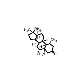 C[C@H]1C[C@@H]2[C@H](CC[C@@]3(C)[C@H]2CC[C@]3(C)O)[C@]2(CO)[C@@H]1CC(=O)C[C@@H]2C